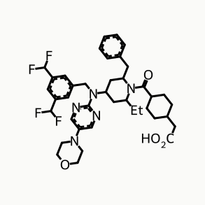 CCC1CC(N(Cc2cc(C(F)F)cc(C(F)F)c2)c2ncc(N3CCOCC3)cn2)CC(Cc2ccccc2)N1C(=O)C1CCC(CC(=O)O)CC1